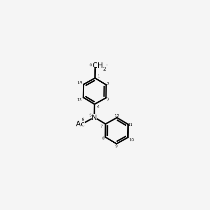 [CH2]c1ccc(N(C(C)=O)c2ccccc2)cc1